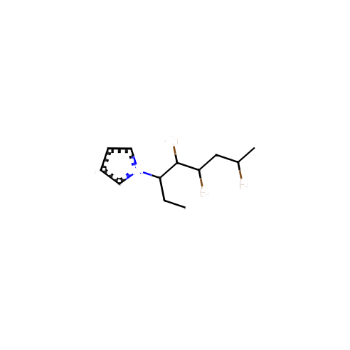 CCC(C(Br)C(Br)CC(C)Br)n1cccc1